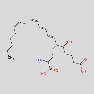 CCCCC/C=C\C\C=C/C=C/C=C/[C@H](SC[C@H](N)C(=O)O)[C@@H](O)CCCC(=O)O